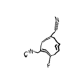 [C-]#[N+]c1cc(C#N)ccc1F